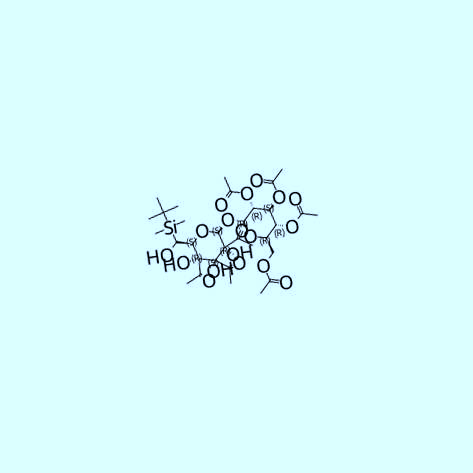 CC(=O)OC[C@H]1O[C@H](O[C@@H]2O[C@H](C(O)[Si](C)(C)C(C)(C)C)[C@](O)(C(C)=O)[C@@](O)(C(C)=O)[C@]2(O)C(C)=O)[C@H](OC(C)=O)[C@@H](OC(C)=O)[C@@H]1OC(C)=O